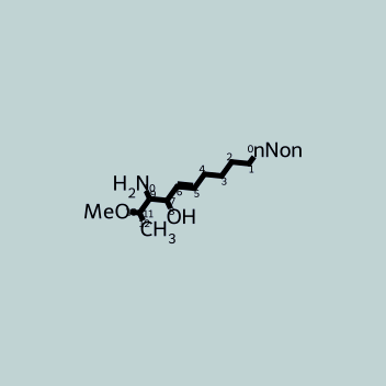 CCCCCCCCCCCCCC=CC(O)C(N)C(C)OC